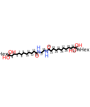 CCCCCCC(O)(O)CCCCCCCCCCC(=O)NCCNC(=O)CCCCCCCCCCC(O)(O)CCCCCC